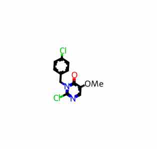 COc1cnc(Cl)n(Cc2ccc(Cl)cc2)c1=O